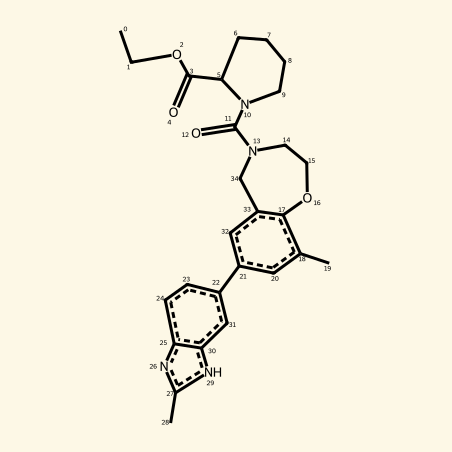 CCOC(=O)C1CCCCN1C(=O)N1CCOc2c(C)cc(-c3ccc4nc(C)[nH]c4c3)cc2C1